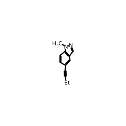 CCC#Cc1ccc2c(cnn2C)c1